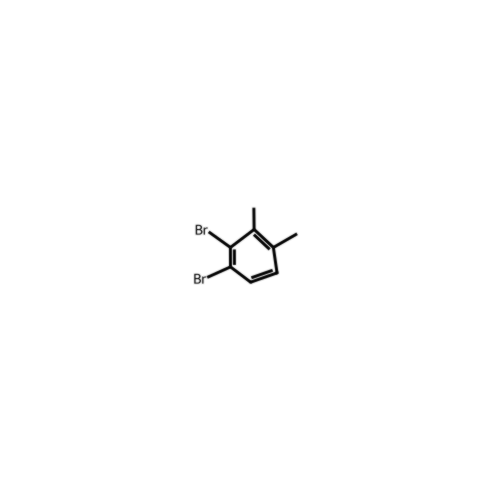 Cc1ccc(Br)c(Br)c1C